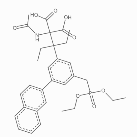 CCOP(=O)(Cc1cc(-c2ccc3ccccc3c2)cc(C(CC)(CC)C(NC(C)=O)(C(=O)O)C(=O)O)c1)OCC